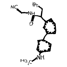 CC(C)CC(C(=O)NCC#N)c1cccc(-c2ccc(NC(=O)O)cc2)c1